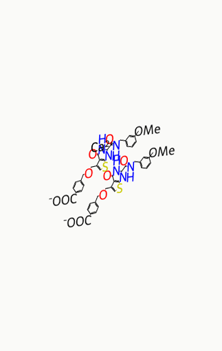 COc1cccc(CNC(=O)c2nc3scc(COCc4ccc(C(=O)[O-])cc4)c3c(=O)[nH]2)c1.COc1cccc(CNC(=O)c2nc3scc(COCc4ccc(C(=O)[O-])cc4)c3c(=O)[nH]2)c1.[Ca+2]